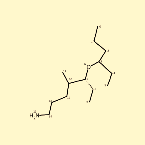 CCCC(CC)O[C@H](CC)C(C)CCCN